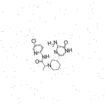 CC(C(=O)Nc1ccc(Cl)cn1)N1CCC[C@@H](c2c[nH]c(=O)c(N)n2)C1